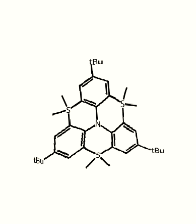 CC(C)(C)c1cc2c3c(c1)S(C)(C)c1cc(C(C)(C)C)cc4c1N3c1c(cc(C(C)(C)C)cc1S4(C)C)S2(C)C